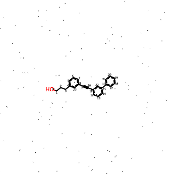 OCCCc1cccc(C#Cc2cccc(-c3ccccc3)c2)c1